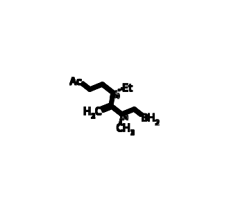 BC[C@H](C)C(=C)[C@@H](CC)CCC(C)=O